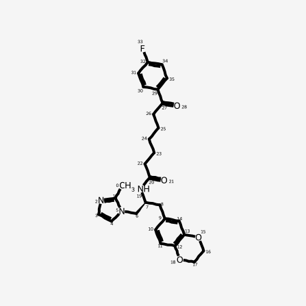 Cc1nccn1C[C@H](Cc1ccc2c(c1)OCCO2)NC(=O)CCCCCC(=O)c1ccc(F)cc1